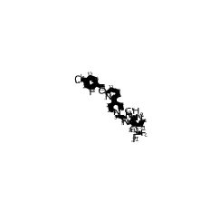 Cn1c(CN2CCC(c3cccc(OCc4ccc(Cl)cc4F)n3)CC2)nc2c(OC(F)F)ccnc21